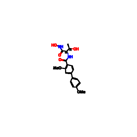 COc1ccc(-c2ccc(C(=O)N[C@H](C(=O)NO)[C@@H](C)O)c(OC)c2)cc1